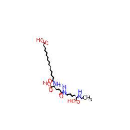 CCN[C@@H](CCCCNC(=O)CC[C@H](NC(=O)CCCCCCCCCCCCCCC(=O)O)C(=O)O)C(=O)O